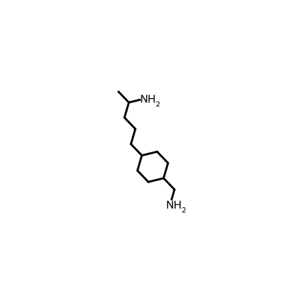 CC(N)CCCC1CCC(CN)CC1